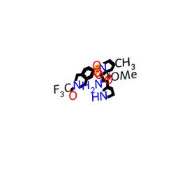 COC(=O)[C@]1(C(=O)C(N)CC2=CCCNC2)CC(C)=CCN1S(=O)(=O)c1ccc2c(c1)CCN(C(=O)C(F)(F)F)CC2